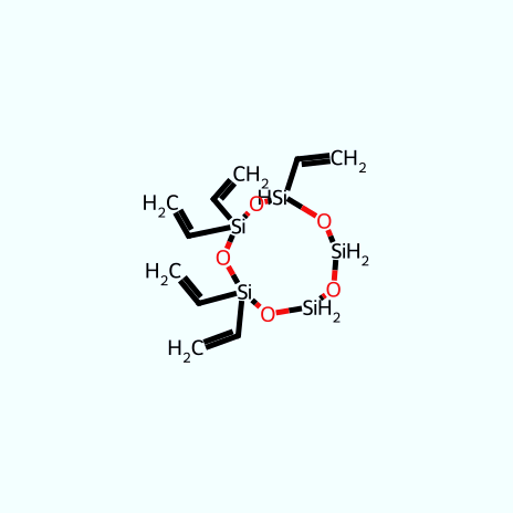 C=C[SiH]1O[SiH2]O[SiH2]O[Si](C=C)(C=C)O[Si](C=C)(C=C)O1